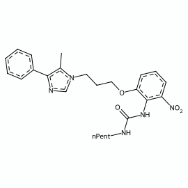 CCCCCNC(=O)Nc1c(OCCCn2cnc(-c3ccccc3)c2C)cccc1[N+](=O)[O-]